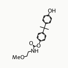 COCCNC(=O)Oc1ccc(C(C)(C)c2ccc(O)cc2)cc1